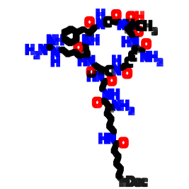 CCCCCCCCCCCCCCCC(=O)NCCCC[C@H](N)C(=O)NCC(=O)N[C@H]1CNC(=O)CC[C@@H](C(N)=O)NC(=O)[C@H]([C@@H](C)O)NC(=O)CNC(=O)[C@H](Cc2ccccc2)NC(=O)[C@H](CCCCNC(=N)N)NC1=O